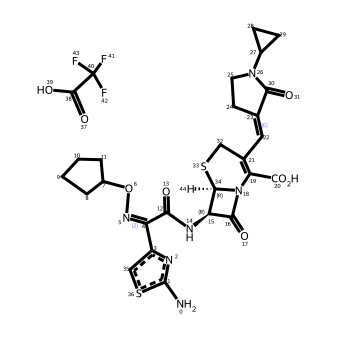 Nc1nc(/C(=N/OC2CCCC2)C(=O)N[C@@H]2C(=O)N3C(C(=O)O)=C(/C=C4\CCN(C5CC5)C4=O)CS[C@H]23)cs1.O=C(O)C(F)(F)F